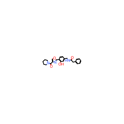 O=C(Cc1ccccc1)NCc1ccc(-c2nc(C(=O)N3CCCCC3)co2)c(O)c1